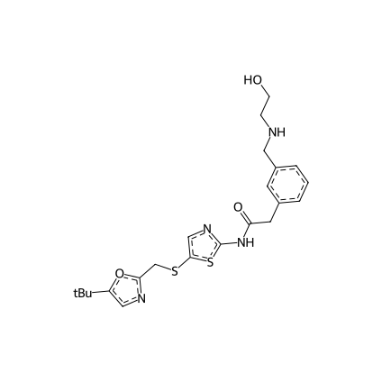 CC(C)(C)c1cnc(CSc2cnc(NC(=O)Cc3cccc(CNCCO)c3)s2)o1